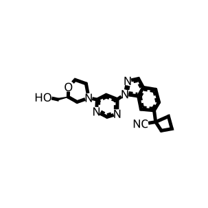 N#CC1(c2ccc3cnn(-c4cc(N5CCO[C@H](CO)C5)ncn4)c3c2)CCC1